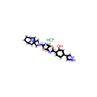 Cl.Oc1cc(-c2cn[nH]c2)ccc1-c1nc2sc(N3CC4(CC5CCC(C4)N5)C3)nc2s1